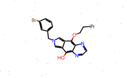 CC(C)CCOc1c2cn(Cc3cccc(Br)c3)cc2c(O)c2nccnc12